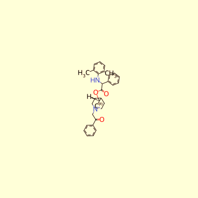 Cc1cccc(C)c1NC(C(=O)O[C@H]1C[N+]2(CC(=O)c3ccccc3)CCC1CC2)c1ccccc1